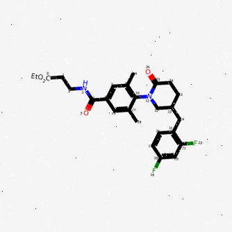 CCOC(=O)CCNC(=O)c1cc(C)c(N2CC(Cc3ccc(F)cc3F)CCC2=O)c(C)c1